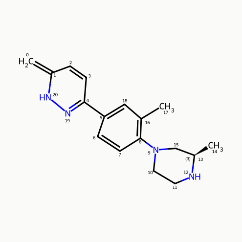 C=C1C=CC(c2ccc(N3CCN[C@H](C)C3)c(C)c2)=NN1